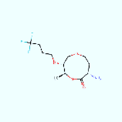 C[C@@H]1OC(=O)[C@@H](N)CCOC[C@H]1OCCCC(F)(F)F